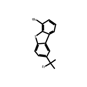 CCC(C)(C)c1ccc2sc3c(C(C)(C)C)cccc3c2c1